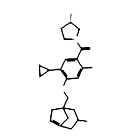 CC1CC2=CCC(COc3cc(F)c(C(=O)N4CC[C@@H](C)C4)cc3C3CC3)(C2)C1